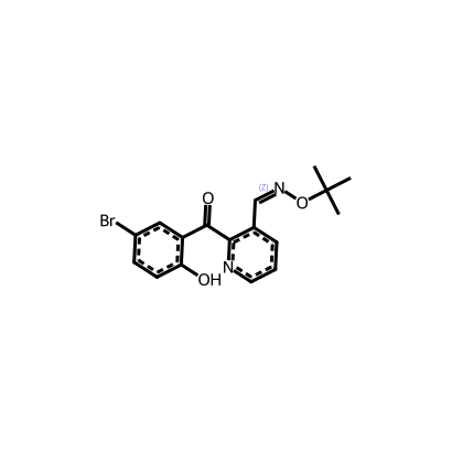 CC(C)(C)O/N=C\c1cccnc1C(=O)c1cc(Br)ccc1O